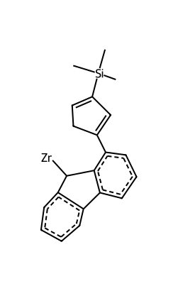 C[Si](C)(C)C1=CCC(c2cccc3c2[CH]([Zr])c2ccccc2-3)=C1